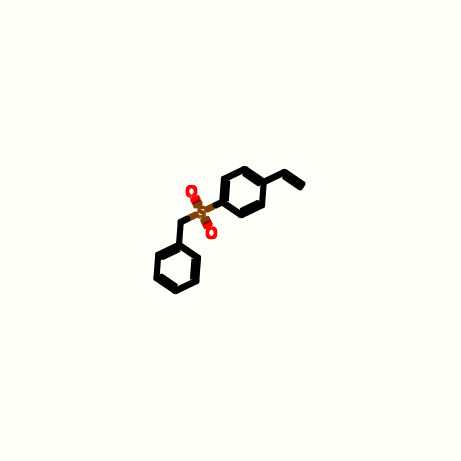 C=Cc1ccc(S(=O)(=O)Cc2ccccc2)cc1